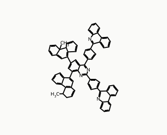 CC1CC=Cc2cc(-c3cc(C4=C5C=CC=CC5C5(C)C=CC=CC5=C4)cc4c(-c5ccc(-c6nc7ccccc7c7ccccc67)cc5)nc(-c5ccc(-c6nc7ccccc7c7ccccc67)cc5)nc34)c3ccccc3c21